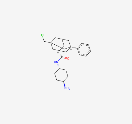 N[C@H]1CC[C@H](NC(=O)[C@@]23CC4CC(CCl)(C2)C[C@@](c2ccccc2)(C4)C3)CC1